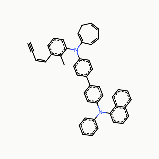 C#C/C=C\c1cccc(N(C2=CCC=CC=C2)c2ccc(-c3ccc(N(c4ccccc4)c4cccc5ccccc45)cc3)cc2)c1C